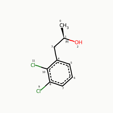 C[C@@H](O)[CH]c1cccc(Cl)c1Cl